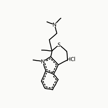 CN(C)CCC1(C)SCCc2c1n(C)c1ccccc21.Cl